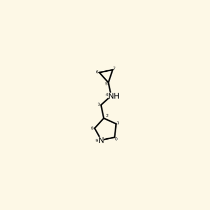 C1CC(CNC2CC2)C[N]1